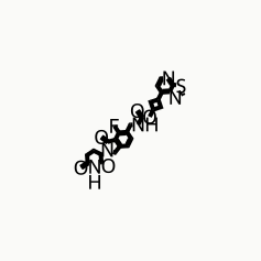 O=C1CC[C@H](N2Cc3ccc(CNC(=O)OC4CC(c5ccnc6scnc56)C4)c(F)c3C2=O)C(=O)N1